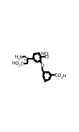 Cl.NC[C@H](CC(=O)O)c1ccc(Cl)c(OCc2cccc(C(=O)O)c2)c1